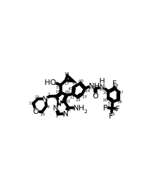 Nc1ncnn2c(CN3CCOCC3)c(C(O)C3CC3)c(-c3ccc(NC(=O)Nc4cc(C(F)(F)F)ccc4F)cc3)c12